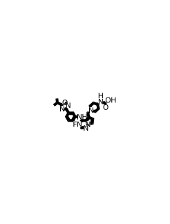 CC(C)c1nc(-c2ccc(F)c(Nc3ncnn4ccc(CN5CCC(NC(=O)O)CC5)c34)c2)no1